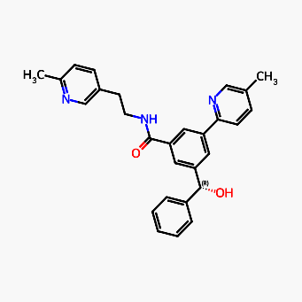 Cc1ccc(-c2cc(C(=O)NCCc3ccc(C)nc3)cc([C@H](O)c3ccccc3)c2)nc1